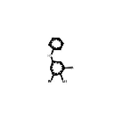 Nc1c(Br)cc(Nc2ccccc2)cc1Br